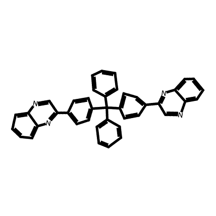 c1ccc(C(c2ccccc2)(c2ccc(-c3cnc4ccccc4n3)cc2)c2ccc(-c3cnc4ccccc4n3)cc2)cc1